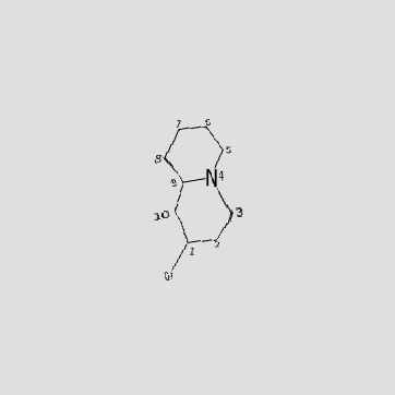 CC1CCN2CCCCC2C1